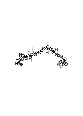 CN(CCNC(=O)C1CCC(NC(=O)CCCOC2CCC(OCCNC(=O)C3CCC(NC(=O)CCCOC4CCC(OCCNC(=O)[C@H]5CC(=O)N(C)[C@@H]5c5cccnc5)CC4)CC3)CC2)CC1)c1ccc2nccc(C(=O)NCC(=O)N3CC(F)(F)CC3C#N)c2c1